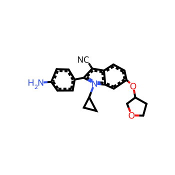 N#Cc1c(-c2ccc(N)cc2)n(C2CC2)c2cc(OC3CCOC3)ccc12